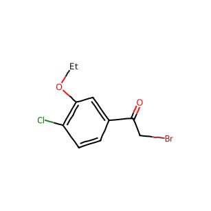 CCOc1cc(C(=O)CBr)ccc1Cl